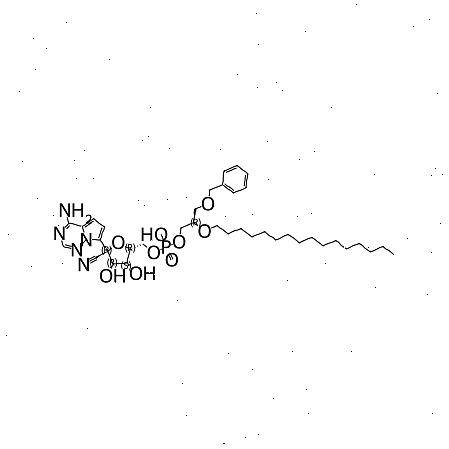 CCCCCCCCCCCCCCCCO[C@H](COCc1ccccc1)COP(=O)(O)OC[C@H]1O[C@@](C#N)(c2ccc3c(N)ncnn23)[C@H](O)[C@@H]1O